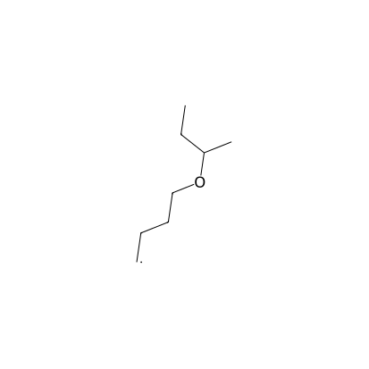 [CH2]CCCOC(C)CC